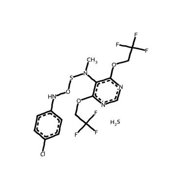 CN(SONc1ccc(Cl)cc1)c1c(OCC(F)(F)F)ncnc1OCC(F)(F)F.S